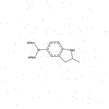 CCCCCCN(CCCCCC)c1ccc2c(c1)CC(C)N2